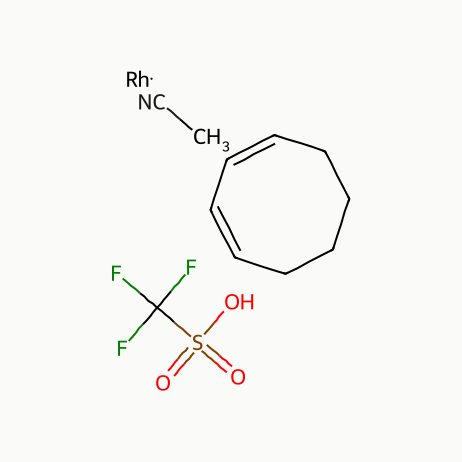 C1=CCCCCC=C1.CC#N.O=S(=O)(O)C(F)(F)F.[Rh]